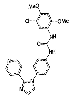 COc1cc(OC)c(NC(=O)Nc2ccc(-n3ccnc3-c3ccncc3)cc2)cc1Cl